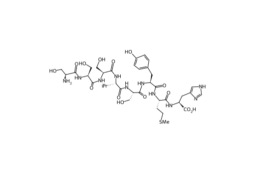 CSCC[C@H](NC(=O)[C@H](Cc1ccc(O)cc1)NC(=O)[C@H](CO)NC(=O)[C@@H](NC(=O)[C@H](CO)NC(=O)[C@H](CO)NC(=O)[C@@H](N)CO)C(C)C)C(=O)N[C@@H](Cc1c[nH]cn1)C(=O)O